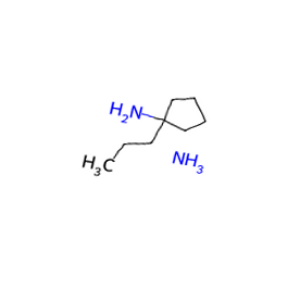 CCCC1(N)CCCC1.N